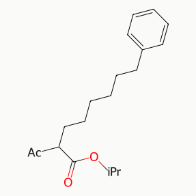 CC(=O)C(CCCCCCc1ccccc1)C(=O)OC(C)C